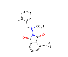 Cc1ccc(CN(C(=O)O)N2C(=O)c3cccc(C4CC4)c3C2=O)c(C)c1